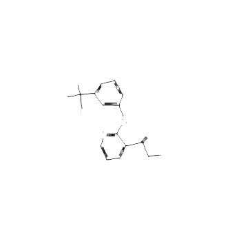 CCC(=O)c1cccnc1Nc1cccc(C(F)(F)F)c1